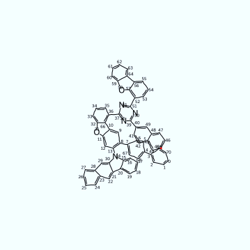 c1ccc(-c2ccc(-c3cc4c(cc3-n3c5ccccc5c5cc6ccccc6cc53)oc3cccc(-c5nc(-c6ccc7ccccc7c6)nc(-c6cccc7c6oc6ccccc67)n5)c34)cc2)cc1